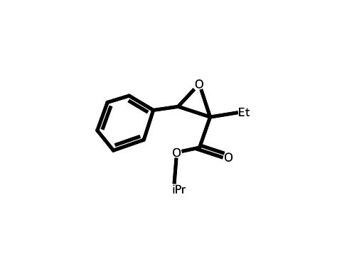 CCC1(C(=O)OC(C)C)OC1c1ccccc1